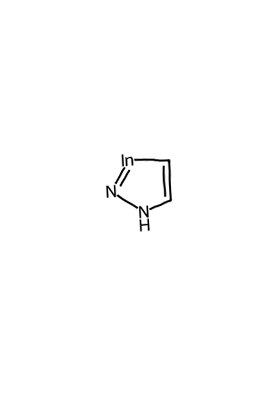 C1=[CH][In]=[N]N1